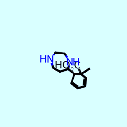 CC1(C(=O)O)C=CC=CC1C1CCNCCN1